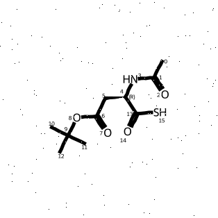 CC(=O)N[C@H](CC(=O)OC(C)(C)C)C(=O)S